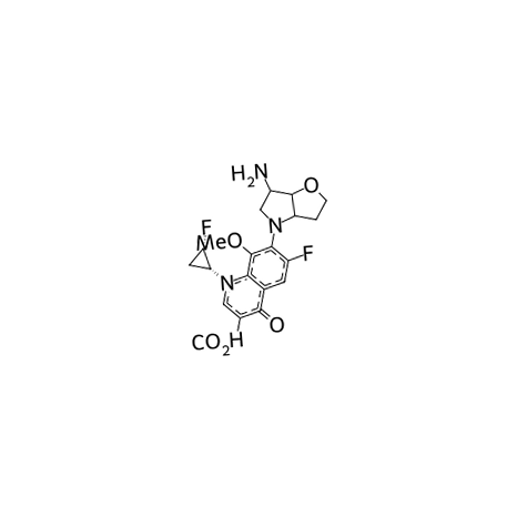 COc1c(N2CC(N)C3OCCC32)c(F)cc2c(=O)c(C(=O)O)cn([C@@H]3C[C@@H]3F)c12